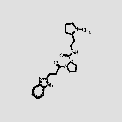 CN1CCCC1CCNC(=O)[C@@H]1CCCN1C(=O)CCc1nc2ccccc2[nH]1